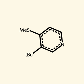 CSc1ccncc1C(C)(C)C